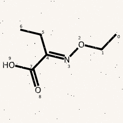 CCO/N=C(\CC)C(=O)O